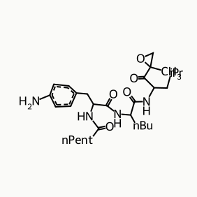 CCCCCC(=O)NC(Cc1ccc(N)cc1)C(=O)NC(CCCC)C(=O)NC(CC(C)C)C(=O)C1(C)CO1